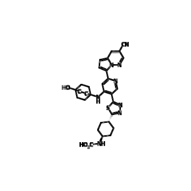 N#Cc1cnn2c(-c3cc(NC45CCC(O)(CC4)CC5)c(-c4nnc([C@H]5CC[C@H](NC(=O)O)CC5)s4)cn3)ccc2c1